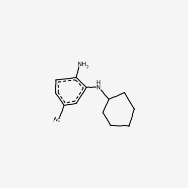 CC(=O)c1ccc(N)c(NC2CCCCC2)c1